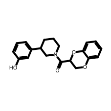 O=C(C1COc2ccccc2O1)N1CCCC(c2cccc(O)c2)C1